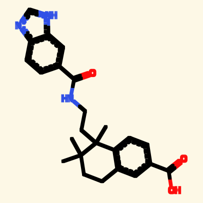 CC1(C)CCc2cc(C(=O)O)ccc2C1(C)CCNC(=O)c1ccc2nc[nH]c2c1